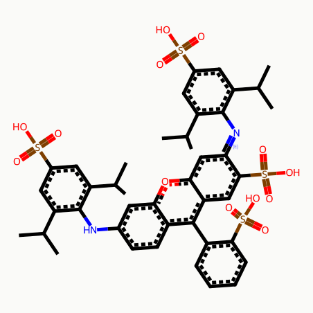 CC(C)c1cc(S(=O)(=O)O)cc(C(C)C)c1/N=c1\cc2oc3cc(Nc4c(C(C)C)cc(S(=O)(=O)O)cc4C(C)C)ccc3c(-c3ccccc3S(=O)(=O)O)c-2cc1S(=O)(=O)O